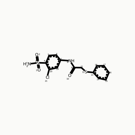 NS(=O)(=O)c1ccc(NC(=O)CSc2ccccc2)cc1Cl